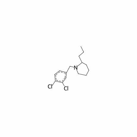 CCCC1CCCCN1Cc1ccc(Cl)c(Cl)c1